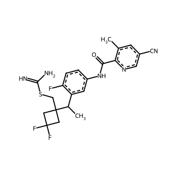 Cc1cc(C#N)cnc1C(=O)Nc1ccc(F)c(C(C)C2(CSC(=N)N)CC(F)(F)C2)c1